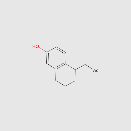 CC(=O)CC1CCCc2cc(O)ccc21